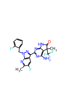 Cc1nc2c(cc1F)c(-c1nc(N)c3c(n1)NC(=O)C3(C)C(F)(F)F)nn2Cc1ccccc1F